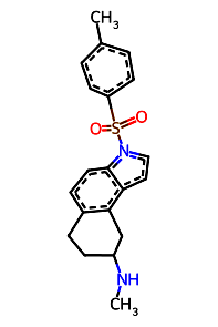 CNC1CCc2ccc3c(ccn3S(=O)(=O)c3ccc(C)cc3)c2C1